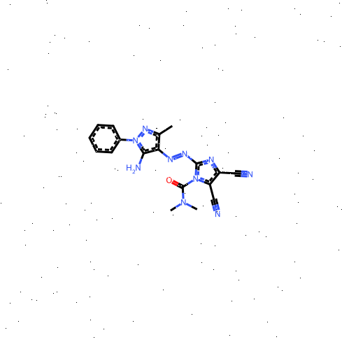 Cc1nn(-c2ccccc2)c(N)c1/N=N/c1nc(C#N)c(C#N)n1C(=O)N(C)C